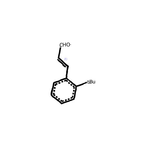 CC(C)(C)c1ccccc1/C=C/[C]=O